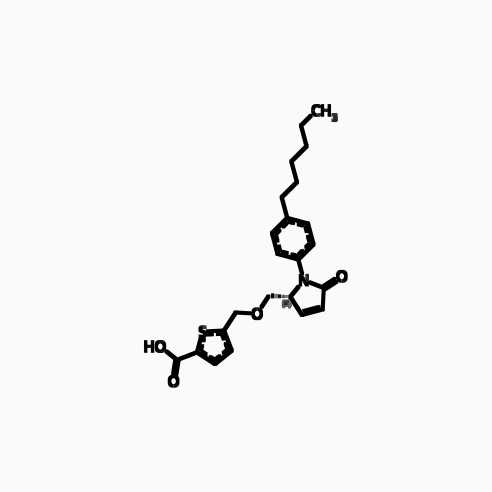 CCCCCCc1ccc(N2C(=O)C=C[C@@H]2COCc2ccc(C(=O)O)s2)cc1